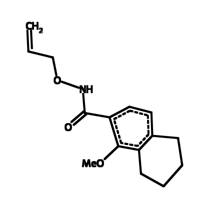 C=CCONC(=O)c1ccc2c(c1OC)CCCC2